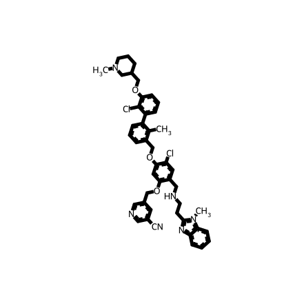 Cc1c(COc2cc(OCc3cncc(C#N)c3)c(CNCCc3nc4ccccc4n3C)cc2Cl)cccc1-c1cccc(OCC2CCCN(C)C2)c1Cl